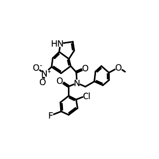 COc1ccc(CN(C(=O)c2cc(F)ccc2Cl)C(=O)c2cc([N+](=O)[O-])cc3[nH]ccc23)cc1